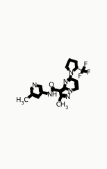 Cc1cncc(NC(=O)c2c(C)nn3ccc(N4CCC[C@@H]4C(F)(F)F)nc23)c1